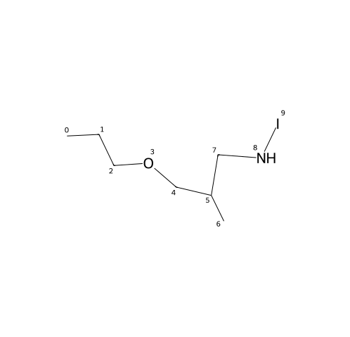 CCCOCC(C)CNI